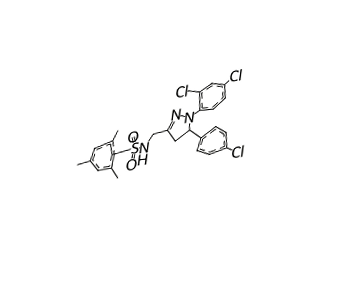 Cc1cc(C)c(S(=O)(=O)NCC2=NN(c3ccc(Cl)cc3Cl)C(c3ccc(Cl)cc3)C2)c(C)c1